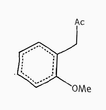 COc1c[c]ccc1CC(C)=O